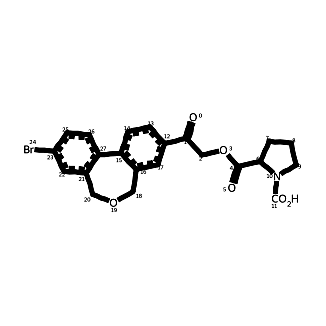 O=C(COC(=O)C1CCCN1C(=O)O)c1ccc2c(c1)COCc1cc(Br)ccc1-2